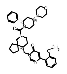 COc1ccccc1-c1cc(=O)n(C[C@@H]2CCN(C(=O)N3CC[C@@H](N4CCOCC4)C[C@H]3c3ccccc3)CC23CCCC3)cn1